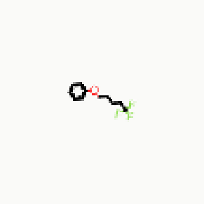 FC(F)(F)CCCCOc1ccccc1